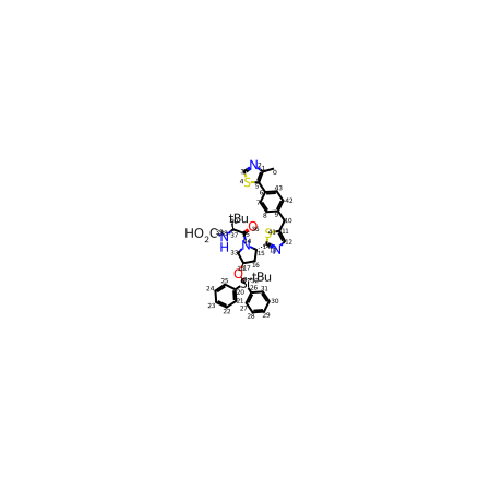 Cc1ncsc1-c1ccc(Cc2cnc([C@@H]3C[C@@H](O[Si](c4ccccc4)(c4ccccc4)C(C)(C)C)CN3C(=O)[C@@H](NC(=O)O)C(C)(C)C)s2)cc1